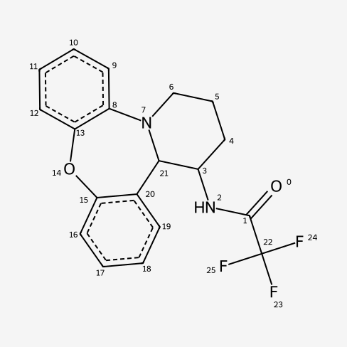 O=C(NC1CCCN2c3ccccc3Oc3ccccc3C12)C(F)(F)F